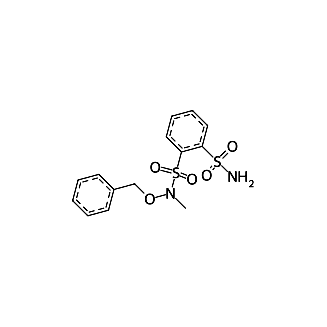 CN(OCc1ccccc1)S(=O)(=O)c1ccccc1S(N)(=O)=O